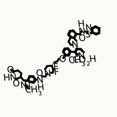 Cc1c(OCCC[C@H]2CCN(CC(=O)Nc3ccc4c(C5CCC(=O)NC5=O)nn(C)c4c3)CC2(F)F)cccc1-c1c(N2CCc3cccc(C(=O)Nc4nc5ccccc5s4)c3C2)ccnc1C(=O)O